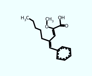 CCCCCC(=Cc1ccccc1)C=C(OC)C(=O)O